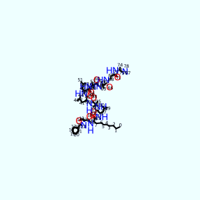 CCCCCCCCC(NC(=O)c1coc(-c2ccccc2)n1)C(=O)NC(CC(C)C)C(=O)NC(C)(C)C(=O)NC(CC(C)C)C(=O)NC(CC(C)C)C(=O)NC(C)(C)C(=O)NC(C)(C)C(=O)NCCC(=O)NC(C)CN(C)C